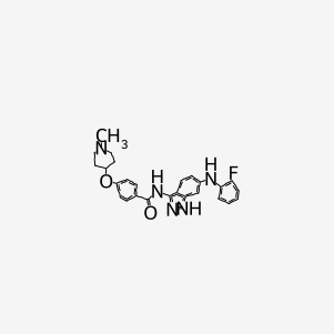 CN1CCC(Oc2ccc(C(=O)Nc3n[nH]c4cc(Nc5ccccc5F)ccc34)cc2)CC1